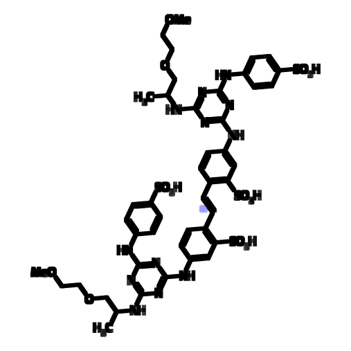 COCCOCC(C)Nc1nc(Nc2ccc(S(=O)(=O)O)cc2)nc(Nc2ccc(/C=C/c3ccc(Nc4nc(Nc5ccc(S(=O)(=O)O)cc5)nc(NC(C)COCCOC)n4)cc3S(=O)(=O)O)c(S(=O)(=O)O)c2)n1